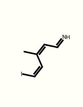 CC(/C=C\I)=C/C=N